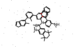 C/B=C(/c1cc2c(cc1N(C)C)C(C)(C)CCC2(C)C)N(c1ccc(NC)cc1-c1ccccc1)c1cc(-c2cccc(-c3cc4c(cc3C)CC=C4)c2C)cc2c1Cc1ccccc1-2